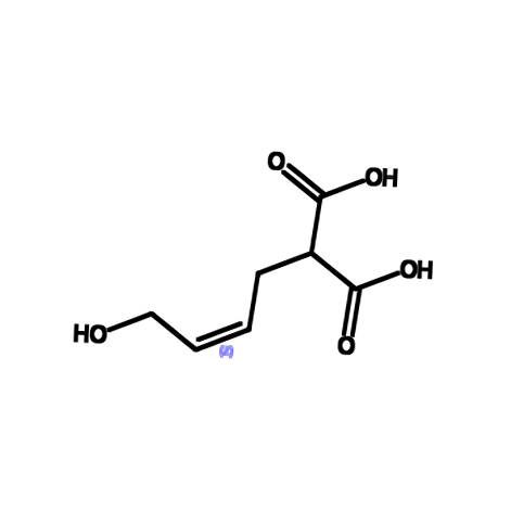 O=C(O)C(C/C=C\CO)C(=O)O